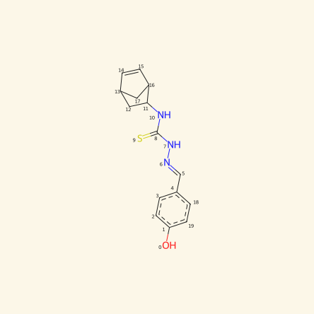 Oc1ccc(C=NNC(=S)NC2CC3C=CC2C3)cc1